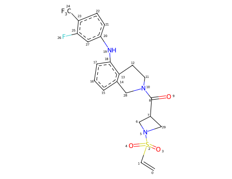 C=CS(=O)(=O)N1CC(C(=O)N2CCc3c(cccc3Nc3ccc(C(F)(F)F)c(F)c3)C2)C1